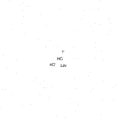 Cl.Cl.[LiH].[Y]